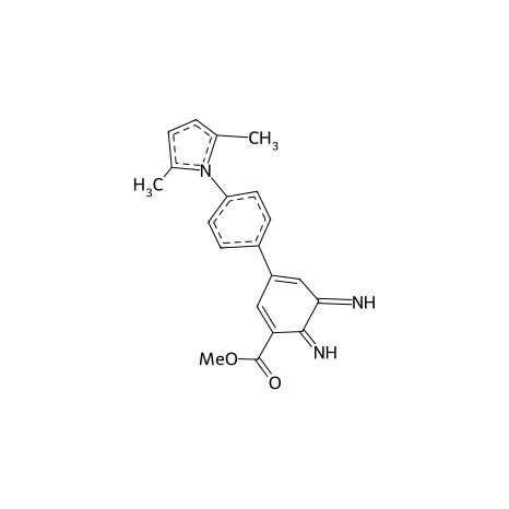 COC(=O)C1=CC(c2ccc(-n3c(C)ccc3C)cc2)=CC(=N)C1=N